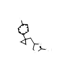 NC1=NC(CC2(c3ccc(Cl)cc3)CC2)CO1